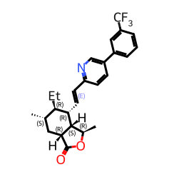 CC[C@H]1[C@H](/C=C/c2ccc(-c3cccc(C(F)(F)F)c3)cn2)[C@@H]2[C@@H](C)OC(=O)[C@@H]2C[C@@H]1C